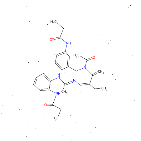 C=C(/C(=C\N=C(/C)Nc1ccccc1NC(=O)CC)CC)N(Cc1cccc(NC(=O)CC)c1)C(C)=O